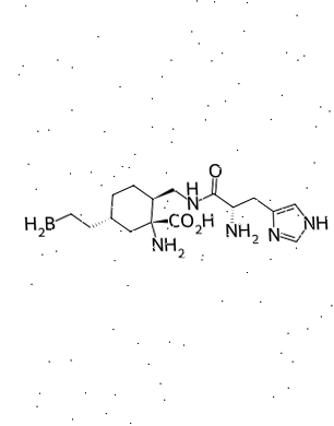 BCC[C@@H]1CC[C@@H](CNC(=O)[C@@H](N)Cc2c[nH]cn2)[C@@](N)(C(=O)O)C1